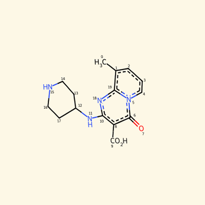 Cc1cccn2c(=O)c(C(=O)O)c(NC3CCNCC3)nc12